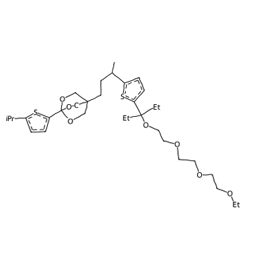 CCOCCOCCOCCOC(CC)(CC)c1ccc(C(C)CCC23COC(c4ccc(C(C)C)s4)(OC2)OC3)s1